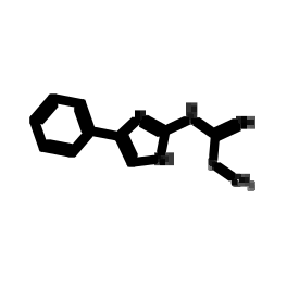 CSC(=N)Nc1nc(-c2ccccc2)c[nH]1